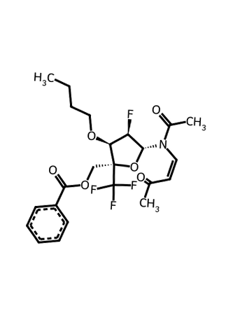 CCCCO[C@H]1[C@@H](F)[C@H](N(/C=C\C(C)=O)C(C)=O)O[C@@]1(COC(=O)c1ccccc1)C(F)(F)F